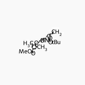 C=CCOC[C@H](COCCOc1c(C)cc(C(=O)OC)cc1C)NC(=O)OC(C)(C)C